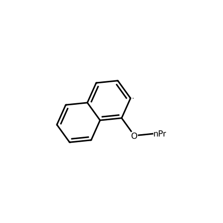 CCCOc1[c]ccc2ccccc12